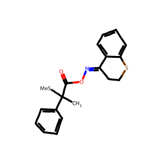 CSC(C)(C(=O)O/N=C1\CCSc2ccccc21)c1ccccc1